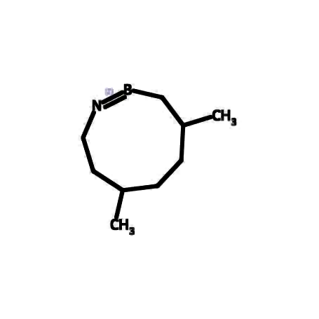 CC1C/B=N\CCC(C)CC1